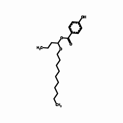 CCCCCCCCCCOC(CCC)OC(=O)c1ccc(O)cc1